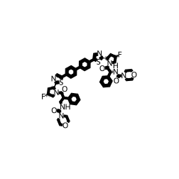 O=C(NCC(C(=O)N1C[C@H](F)C[C@H]1c1ncc(-c2ccc(-c3ccc(-c4cnc([C@@H]5C[C@@H](F)CN5C(=O)[C@H](NC(=O)N5CCOCC5)c5ccccc5)s4)cc3)cc2)s1)c1ccccc1)N1CCOCC1